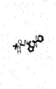 C=C(/N=C1/CCC/C1=C(/C)N(C)CC(=O)NC(C)(C)C)c1ccccn1